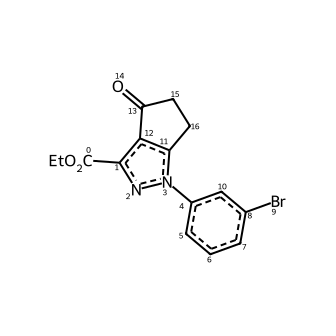 CCOC(=O)c1nn(-c2cccc(Br)c2)c2c1C(=O)CC2